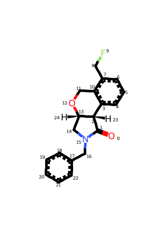 O=C1[C@H]2c3cccc(CF)c3CO[C@H]2CN1Cc1ccccc1